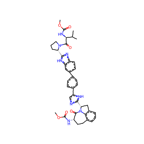 COC(=O)N[C@H]1CCc2cccc3c2N(C1=O)[C@H](c1ncc(-c2ccc(-c4ccc5nc([C@@H]6CCCN6C(=O)[C@@H](NC(=O)OC)C(C)C)[nH]c5c4)cc2)[nH]1)C3